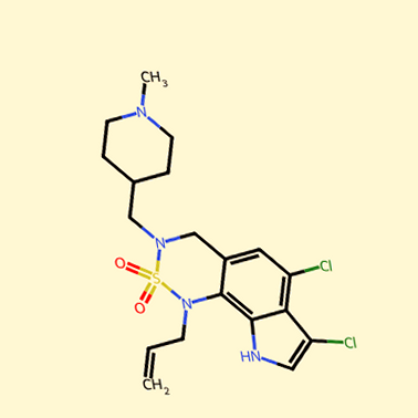 C=CCN1c2c(cc(Cl)c3c(Cl)c[nH]c23)CN(CC2CCN(C)CC2)S1(=O)=O